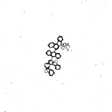 CC1(C)c2ccccc2-c2c1cc(-c1c3ccccc3c(-c3cc4ccc5oc6ccccc6c5c4c4c3oc3ccccc34)c3ccccc13)c1ccccc21